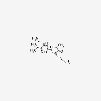 CCCCN(CCC(=O)N[C@@H](CCN)C(=O)C(C)C)C(=O)C(C)C